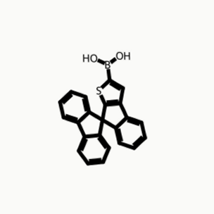 OB(O)c1cc2c(s1)C1(c3ccccc3-c3ccccc31)c1ccccc1-2